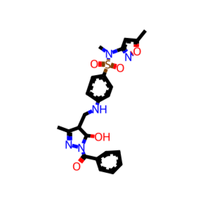 CC1=NN(C(=O)c2ccccc2)C(O)C1CNc1ccc(S(=O)(=O)N(C)c2cc(C)on2)cc1